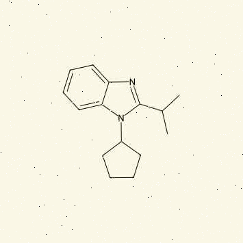 CC(C)c1nc2ccccc2n1C1CCCC1